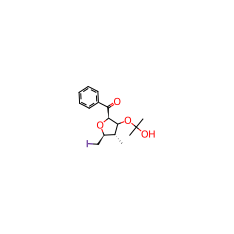 C[C@H]1C(OC(C)(C)O)[C@H](C(=O)c2ccccc2)O[C@@H]1CI